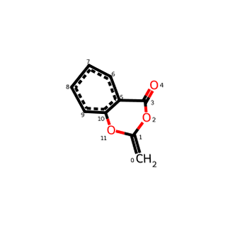 C=C1OC(=O)c2ccccc2O1